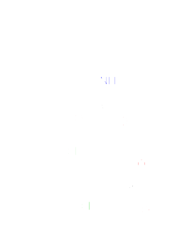 O=C(Nc1ccccc1)OC1OC(=O)C(Cl)=C1Cl